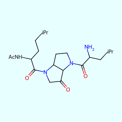 CC(=O)NC(CCC(C)C)C(=O)N1CC(=O)C2C1CCN2C(=O)C(N)CC(C)C